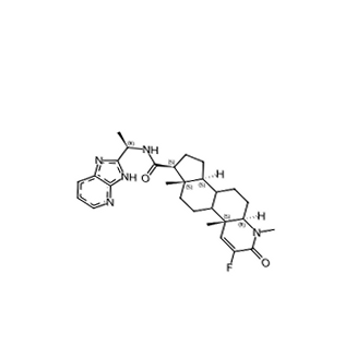 C[C@@H](NC(=O)[C@H]1CC[C@H]2C3CC[C@H]4N(C)C(=O)C(F)=C[C@]4(C)C3CC[C@]12C)c1nc2cccnc2[nH]1